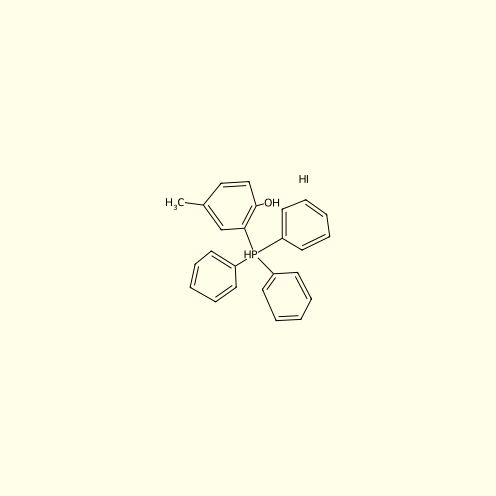 Cc1ccc(O)c([PH](c2ccccc2)(c2ccccc2)c2ccccc2)c1.I